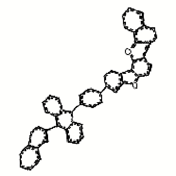 c1ccc2cc(-c3c4ccccc4c(-c4ccc(-c5ccc6c(c5)oc5ccc7c8ccc9ccccc9c8oc7c56)cc4)c4ccccc34)ccc2c1